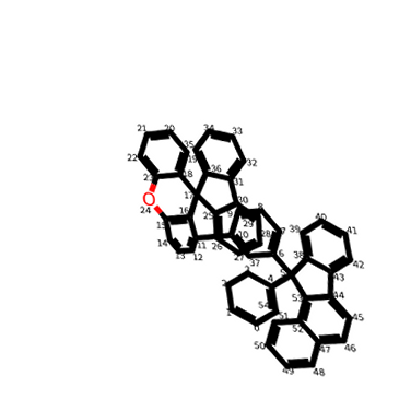 C1=CCCC(C2(c3cccc(-c4cccc5c4C4(c6ccccc6O5)c5ccccc5-c5ccccc54)c3)c3ccccc3-c3ccc4ccccc4c32)=C1